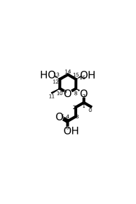 CC(CCC(=O)O)O[C@@H]1O[C@@H](C)[C@H](O)C[C@@H]1O